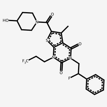 Cc1c(C(=O)N2CCC(O)CC2)sc2c1c(=O)n(CC(F)c1ccccc1)c(=O)n2CCC(F)(F)F